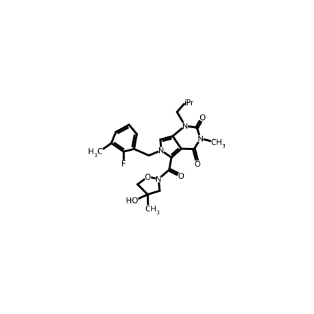 Cc1cccc(Cn2cc3c(c2C(=O)N2CC(C)(O)CO2)c(=O)n(C)c(=O)n3CC(C)C)c1F